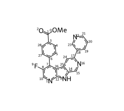 COC(=O)c1ccc(-c2c(F)cnc3[nH]c4cnc(-c5cccnc5)cc4c23)cc1